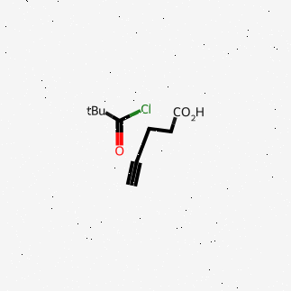 C#CCCC(=O)O.CC(C)(C)C(=O)Cl